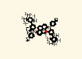 [2H]c1c([2H])c([2H])c(-c2ccc(N(c3ccc([Si](C)(C)C)cc3)c3ccc4ccc5c(N(c6ccc([Si](C)(C)C)cc6)c6ccc(-c7c([2H])c([2H])c([2H])c([2H])c7[2H])cc6C(F)(F)F)ccc6ccc3c4c65)c(C(F)(F)F)c2)c([2H])c1[2H]